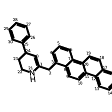 C1=C(Cc2cccc3c2ccc2c4ccccc4ccc32)NCCC1c1ccccc1